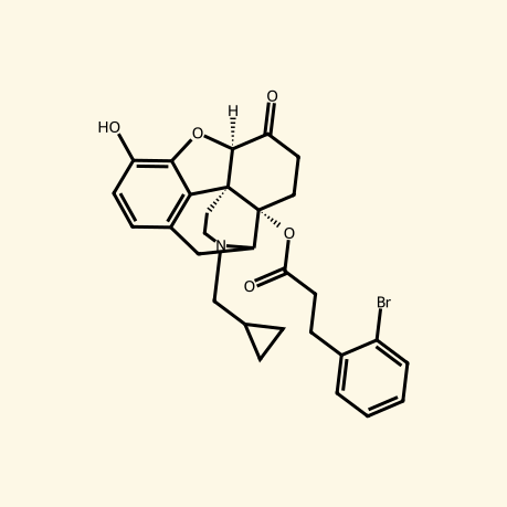 O=C(CCc1ccccc1Br)O[C@@]12CCC(=O)[C@@H]3Oc4c(O)ccc5c4[C@@]31CCN(CC1CC1)C2C5